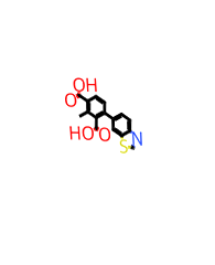 Cc1c(C(=O)O)ccc(-c2ccc3ncsc3c2)c1C(=O)O